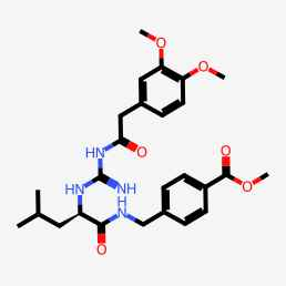 COC(=O)c1ccc(CNC(=O)[C@@H](CC(C)C)NC(=N)NC(=O)Cc2ccc(OC)c(OC)c2)cc1